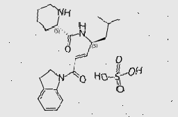 CC(C)C[C@@H](C=CC(=O)N1CCc2ccccc21)NC(=O)[C@@H]1CCCCN1.O=S(=O)(O)O